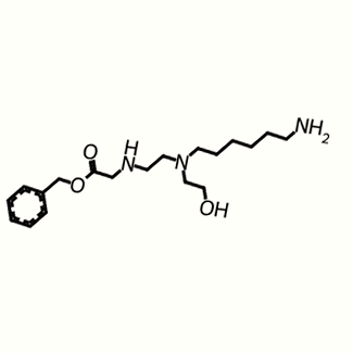 NCCCCCCN(CCO)CCNCC(=O)OCc1ccccc1